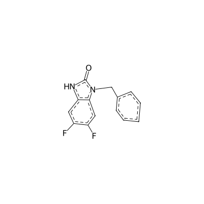 O=c1[nH]c2cc(F)c(F)cc2n1Cc1ccccc1